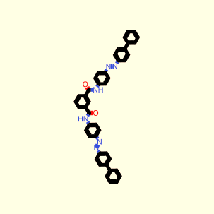 O=C(Nc1ccc(/N=N/c2ccc(-c3ccccc3)cc2)cc1)c1cccc(C(=O)Nc2ccc(/N=N/c3ccc(-c4ccccc4)cc3)cc2)c1